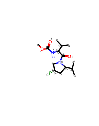 COC(=O)N[C@H](C(=O)N1C[C@@H](F)CC1C(C)C)C(C)C